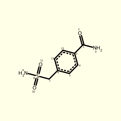 NC(=O)c1ccc(CS(N)(=O)=O)cc1